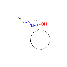 CC(C)CN=NC(C)(O)C1CCCCCCCCCCC1